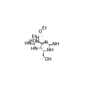 CCO[C@@H]1CN2C(=N)N[C@@H](CO)C3NC(=N)NC32[C@@]1(O)CC